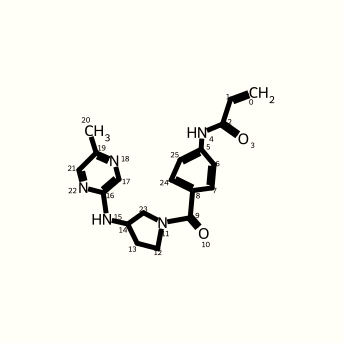 C=CC(=O)Nc1ccc(C(=O)N2CCC(Nc3cnc(C)cn3)C2)cc1